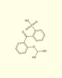 O=C(c1ccccc1OC(O)O)c1ccccc1S(=O)(=O)O